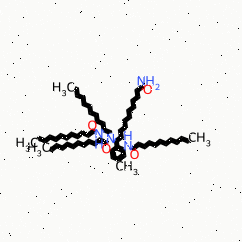 CCCCCCCCCCCC(=O)Nc1cc(C)ccc1C(CCCCCCCCCCC(N)=O)N(CC(CCCCCCCCCC)NC(=O)CCCCCCCCCCC)C(=O)CCCCCCCCCCC